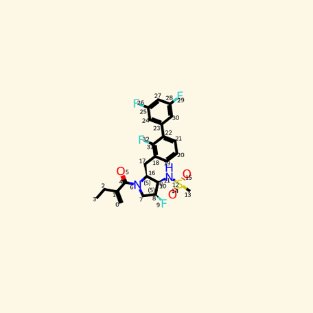 C=C(CC)C(=O)N1C[C@H](F)[C@H](NS(C)(=O)=O)[C@@H]1Cc1cccc(-c2cc(F)cc(F)c2)c1F